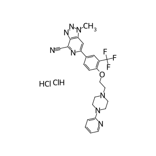 Cl.Cl.Cn1nnc2c(C#N)nc(-c3ccc(OCCN4CCN(c5ccccn5)CC4)c(C(F)(F)F)c3)cc21